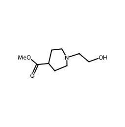 COC(=O)C1CCN(CCO)CC1